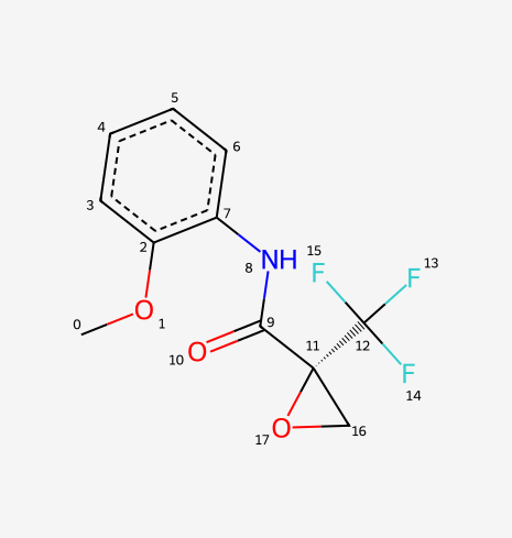 COc1ccccc1NC(=O)[C@@]1(C(F)(F)F)CO1